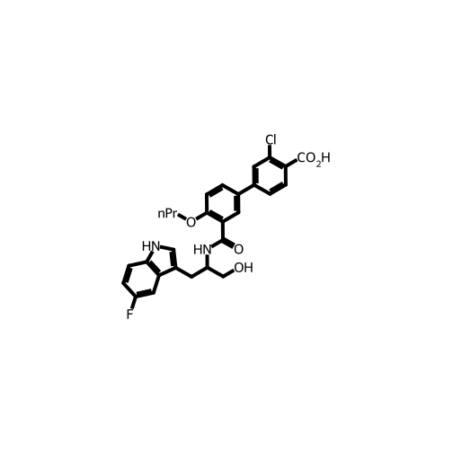 CCCOc1ccc(-c2ccc(C(=O)O)c(Cl)c2)cc1C(=O)NC(CO)Cc1c[nH]c2ccc(F)cc12